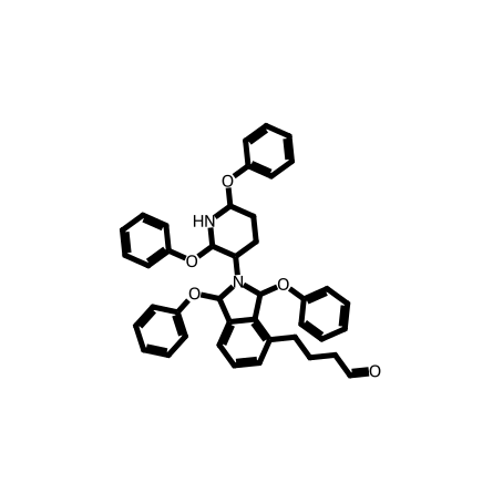 O=CCCCc1cccc2c1C(Oc1ccccc1)N(C1CCC(Oc3ccccc3)NC1Oc1ccccc1)C2Oc1ccccc1